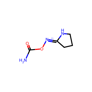 NC(=O)O/N=C1\CCCN1